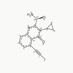 CC#Cc1cccc2nc([C@@H](N)CC)n(C3CC3)c(=O)c12